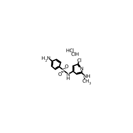 CNc1cc(NS(=O)(=O)c2ccc(N)cc2)cc(Cl)n1.Cl.Cl